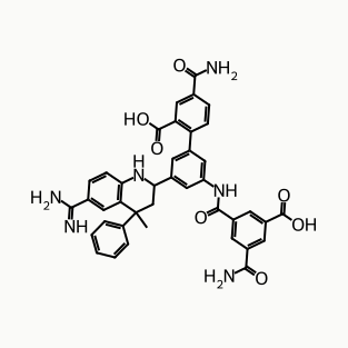 CC1(c2ccccc2)CC(c2cc(NC(=O)c3cc(C(N)=O)cc(C(=O)O)c3)cc(-c3ccc(C(N)=O)cc3C(=O)O)c2)Nc2ccc(C(=N)N)cc21